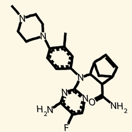 Cc1cc(N(c2ncc(F)c(N)n2)C2C3C=CC(C3)C2C(N)=O)ccc1N1CCN(C)CC1